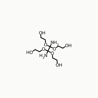 NC(OCCO)(OCCO)C(N)(OCCO)OCCO